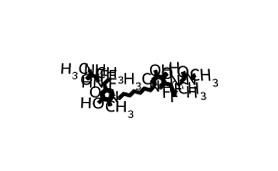 CNC(=O)[C@H](C)N[C@H](c1cn(CCCCCCCn2cc([C@H](N[C@@H](C)C(=O)NC)C(F)(F)F)c(=O)c(O)c2C)c(C)c(O)c1=O)C(F)(F)F